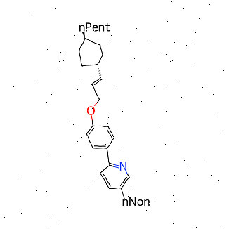 CCCCCCCCCc1ccc(-c2ccc(OCC=C[C@H]3CC[C@H](CCCCC)CC3)cc2)nc1